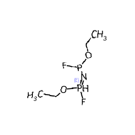 CCOP(F)/N=[PH](/F)OCC